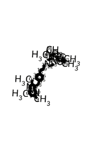 CCc1nn2c(C)cc(C)nc2c1Cc1ccc(C=CCN2CCN(C(=O)OC(C)(C)C)[C@@H](C(=O)N(C)C)C2)cc1